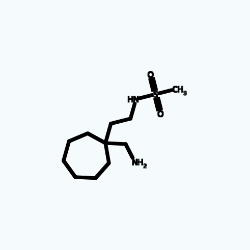 CS(=O)(=O)NCCC1(CN)CCCCCC1